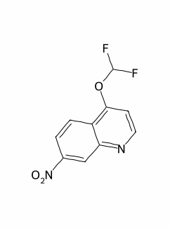 O=[N+]([O-])c1ccc2c(OC(F)F)ccnc2c1